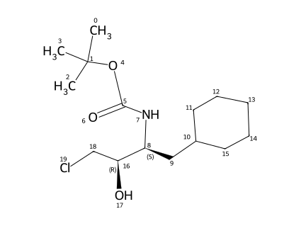 CC(C)(C)OC(=O)N[C@@H](CC1CCCCC1)[C@@H](O)CCl